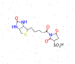 O=C1NC2CSC(CCCCC(=O)N3C(=O)CC(S(=O)(=O)O)C3=O)C2N1